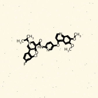 COc1cc2nccc(Oc3ccc(NC(=O)c4cn(C(C)C)cc(-c5ccc(F)cc5Cl)c4=O)nc3)c2cc1OC